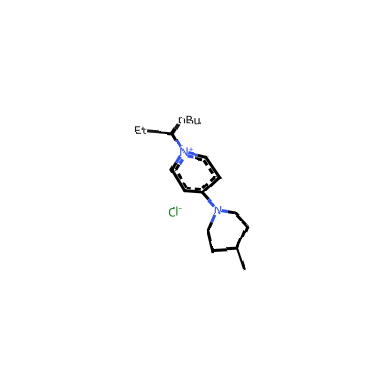 CCCCC(CC)[n+]1ccc(N2CCC(C)CC2)cc1.[Cl-]